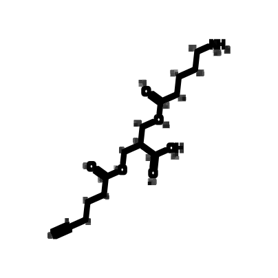 C#CCCCC(=O)OCC(COC(=O)CCCCN)C(=O)O